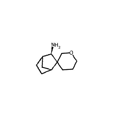 N[C@@H]1C2CCC(C2)C12CCCOC2